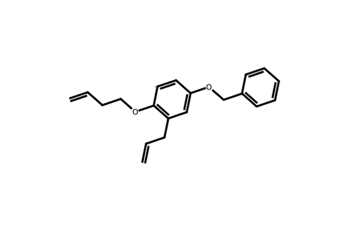 C=CCCOc1[c]cc(OCc2ccccc2)cc1CC=C